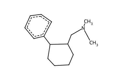 CN(C)CC1CCCCC1c1ccccc1